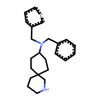 c1ccc(CN(Cc2ccccc2)C2CCC3(CCCNC3)CC2)cc1